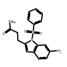 COC(=O)CCc1cc2ccc(C(F)(F)F)cc2n1S(=O)(=O)c1ccccc1